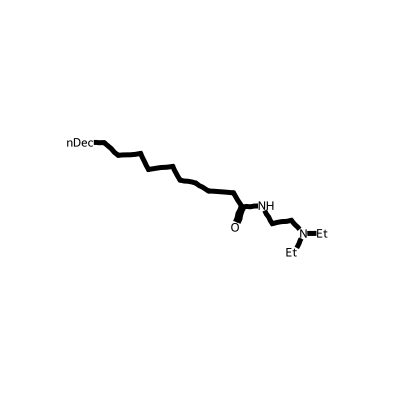 CCCCCCCCCCCCCCCCCCCC(=O)NCCN(CC)CC